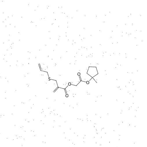 C=CCSCC(=C)C(=O)OCC(=O)OC1(C)CCCC1